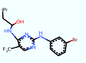 CC(C)CC(O)Nc1nc(Nc2cccc(Br)c2)ncc1C(F)(F)F